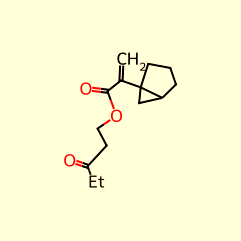 C=C(C(=O)OCCC(=O)CC)C12CCCC1C2